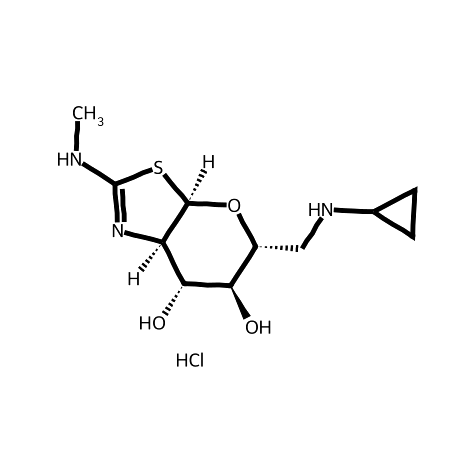 CNC1=N[C@@H]2[C@@H](O)[C@H](O)[C@@H](CNC3CC3)O[C@@H]2S1.Cl